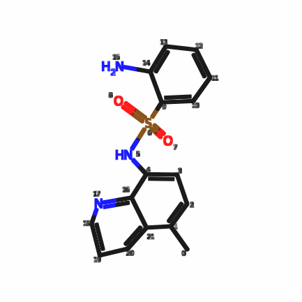 Cc1ccc(NS(=O)(=O)c2ccccc2N)c2ncccc12